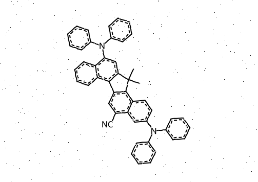 CC1(C)c2cc(N(c3ccccc3)c3ccccc3)c3ccccc3c2-c2cc(C#N)c3cc(N(c4ccccc4)c4ccccc4)ccc3c21